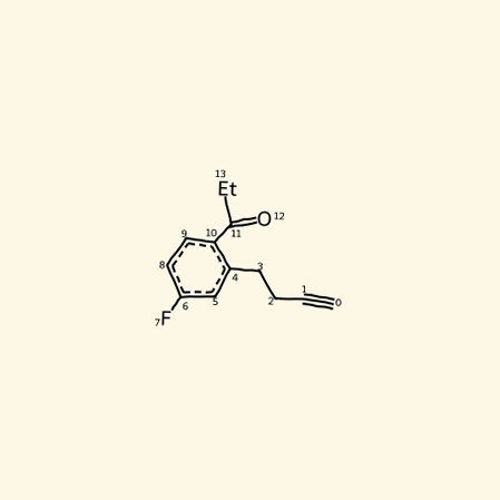 C#CCCc1cc(F)ccc1C(=O)CC